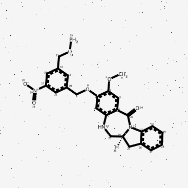 COc1cc2c(cc1OCc1cc(COP)cc([N+](=O)[O-])c1)NC[C@@H]1Cc3ccccc3N1C2=O